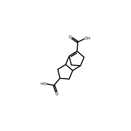 O=C(O)C1=C2CC(C1)C1CC(C(=O)O)CC21